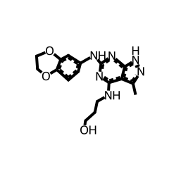 Cc1n[nH]c2nc(Nc3ccc4c(c3)OCCO4)nc(NCCCO)c12